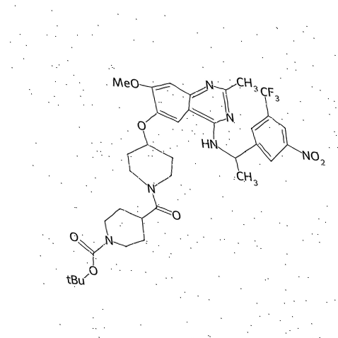 COc1cc2nc(C)nc(NC(C)c3cc([N+](=O)[O-])cc(C(F)(F)F)c3)c2cc1OC1CCN(C(=O)C2CCN(C(=O)OC(C)(C)C)CC2)CC1